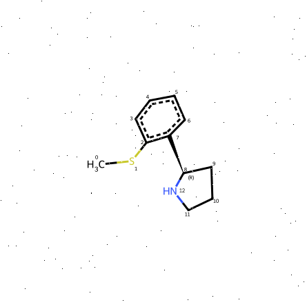 CSc1ccccc1[C@H]1CCCN1